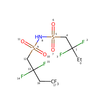 CCC(F)(F)CS(=O)(=O)NS(=O)(=O)CC(F)(F)CC(F)(F)F